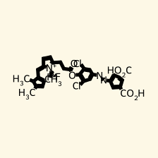 CC1=CC(C)=C(/C=C2/C=CC(CCC(=O)Oc3c(Cl)cc(/N=N/c4cc(C(=O)O)ccc4C(=O)O)cc3Cl)=[N+]2B(F)F)C1C